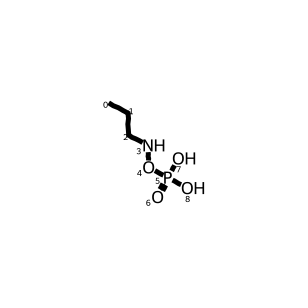 CCCNOP(=O)(O)O